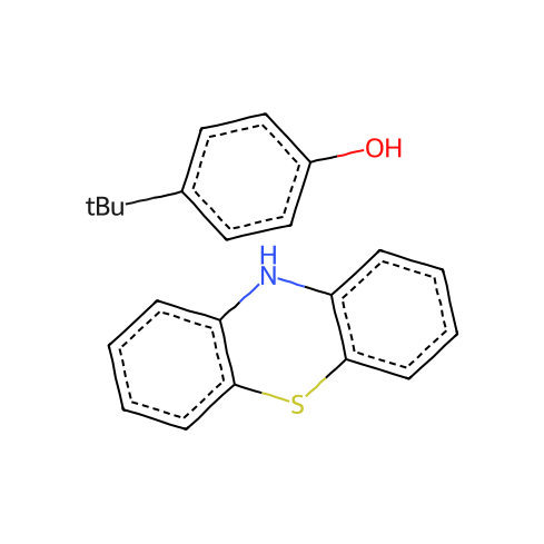 CC(C)(C)c1ccc(O)cc1.c1ccc2c(c1)Nc1ccccc1S2